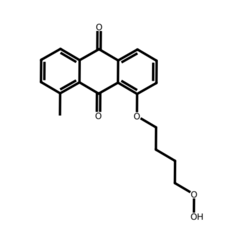 Cc1cccc2c1C(=O)c1c(OCCCCOO)cccc1C2=O